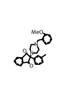 COc1ccccc1CN1CCN(C2(c3cccc(C)c3)C(=O)c3ccccc3C2=O)CC1